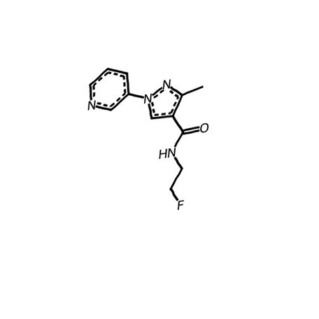 Cc1nn(-c2cccnc2)cc1C(=O)NCCF